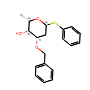 C[C@@H]1O[C@@H](Sc2ccccc2)C[C@H](OCc2ccccc2)[C@@H]1O